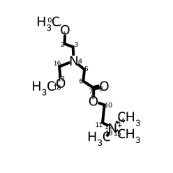 COCCN(CCC(=O)OCC[N+](C)(C)C)COC